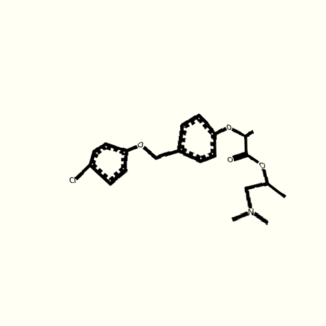 CC(CN(C)C)OC(=O)C(C)Oc1ccc(COc2ccc(Cl)cc2)cc1